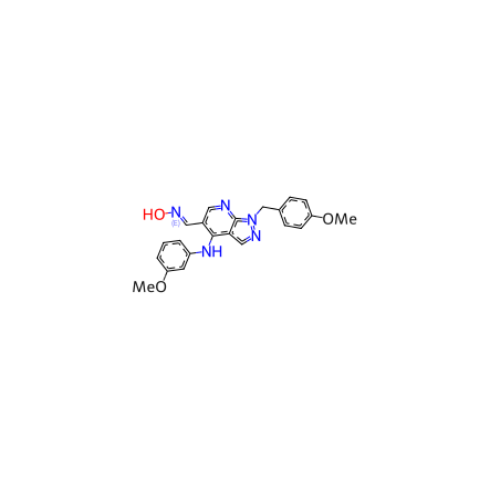 COc1ccc(Cn2ncc3c(Nc4cccc(OC)c4)c(/C=N/O)cnc32)cc1